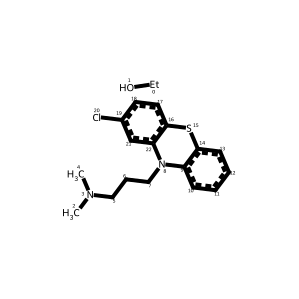 CCO.CN(C)CCCN1c2ccccc2Sc2ccc(Cl)cc21